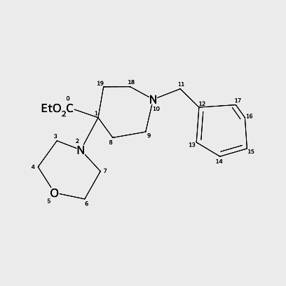 CCOC(=O)C1(N2CCOCC2)CCN(Cc2ccccc2)CC1